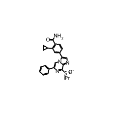 CC(C)[S+]([O-])c1nc(-c2ccccc2)cn2c(-c3ccc(C(N)=O)c(C4CC4)c3)cnc12